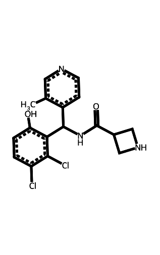 Cc1cnccc1C(NC(=O)C1CNC1)c1c(O)ccc(Cl)c1Cl